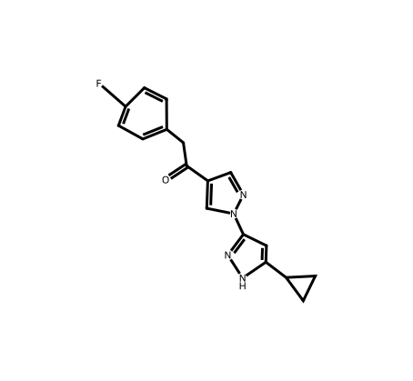 O=C(Cc1ccc(F)cc1)c1cnn(-c2cc(C3CC3)[nH]n2)c1